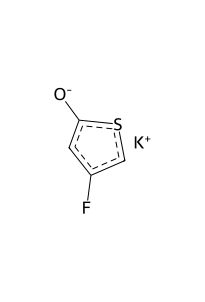 [K+].[O-]c1cc(F)cs1